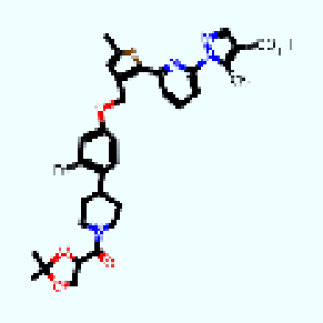 CCc1cc(OCc2cc(C)sc2-c2cccc(-n3ncc(C(=O)O)c3C(F)(F)F)n2)ccc1C1CCN(C(=O)C2COC(C)(C)O2)CC1